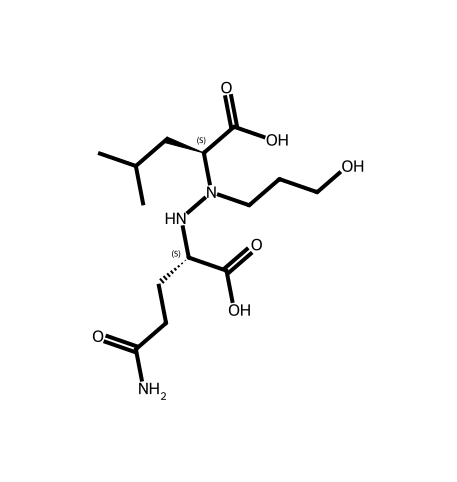 CC(C)C[C@@H](C(=O)O)N(CCCO)N[C@@H](CCC(N)=O)C(=O)O